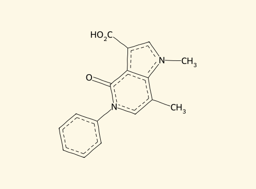 Cc1cn(-c2ccccc2)c(=O)c2c(C(=O)O)cn(C)c12